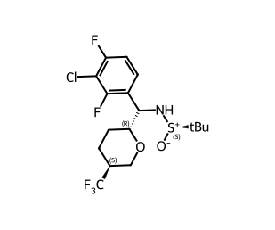 CC(C)(C)[S@@+]([O-])NC(c1ccc(F)c(Cl)c1F)[C@H]1CC[C@H](C(F)(F)F)CO1